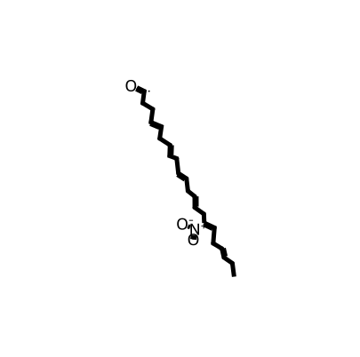 CC/C=C/C/C=C(/C/C=C/C/C=C/C/C=C/C/C=C/CC[C]=O)[N+](=O)[O-]